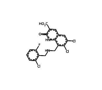 O=C(O)c1cc2cc(Cl)c(Cl)c(CNCc3c(F)cccc3Cl)c2[nH]c1=O